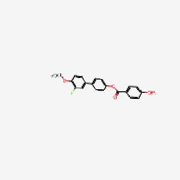 CCCCCCCCOc1ccc(-c2ccc(OC(=O)c3ccc(O)cc3)cc2)cc1F